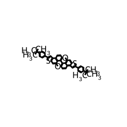 CC(C)(C)c1ccc(-c2cc3c(cc4oc5ccc6c7cc(-c8ccc(C(C)(C)C)cc8)sc7cc7oc8ccc3c4c8-c5c76)s2)cc1